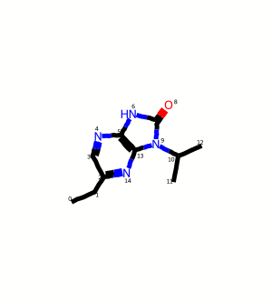 CCc1cnc2[nH]c(=O)n(C(C)C)c2n1